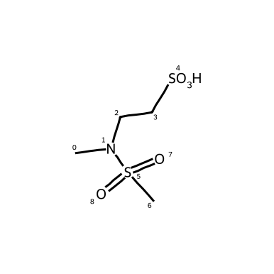 CN(CCS(=O)(=O)O)S(C)(=O)=O